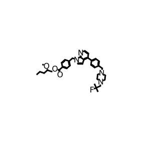 CCCC(COC(=O)c1ccc(Cn2ccc3c(-c4ccc(CN5CCN(CC(C)(C)F)CC5)cc4)ccnc32)cc1)OC